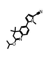 CC(C)OC1=Nc2ccc(-c3ccc(C#N)n3C)cc2C(C)(C)C1